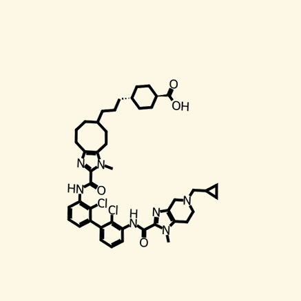 Cn1c(C(=O)Nc2cccc(-c3cccc(NC(=O)c4nc5c(n4C)CCN(CC4CC4)C5)c3Cl)c2Cl)nc2c1CCC(CCC[C@H]1CC[C@H](C(=O)O)CC1)CCC2